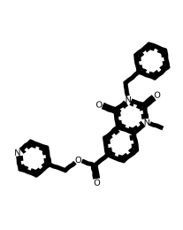 Cn1c(=O)n(Cc2ccccc2)c(=O)c2cc(C(=O)OCc3ccncc3)ccc21